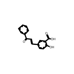 O=C(/C=C/c1ccc(O)c(C(=O)O)c1)c1ccccc1